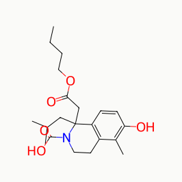 CCCCOC(=O)CC1(CC(C)C)c2ccc(O)c(C)c2CCN1C(=O)O